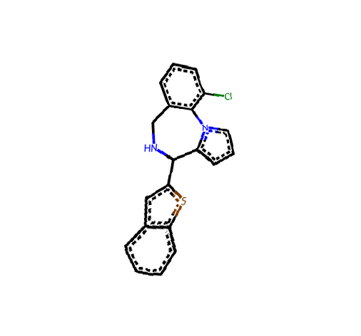 Clc1cccc2c1-n1cccc1C(c1cc3ccccc3s1)NC2